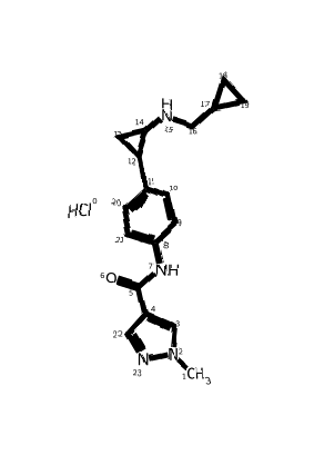 Cl.Cn1cc(C(=O)Nc2ccc(C3CC3NCC3CC3)cc2)cn1